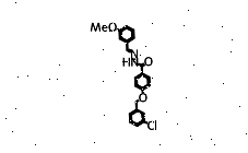 COc1cccc(/C=N/NC(=O)c2ccc(OCc3cccc(Cl)c3)cc2)c1